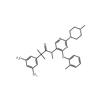 Cc1ccccc1Oc1nc(N2CCN(C)CC2)ncc1N(C)C(=O)C(C)(C)c1cc(C(F)(F)F)cc(C(F)(F)F)c1